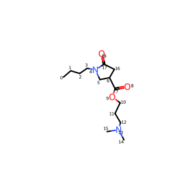 CCCCN1CC(C(=O)OCCCN(C)C)CC1=O